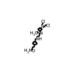 Cn1c(CCNCc2ccc(/C=C/C(N)=O)cc2)nc2cc(N(CCCl)CCCl)ccc21